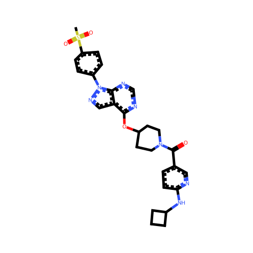 CS(=O)(=O)c1ccc(-n2ncc3c(OC4CCN(C(=O)c5ccc(NC6CCC6)nc5)CC4)ncnc32)cc1